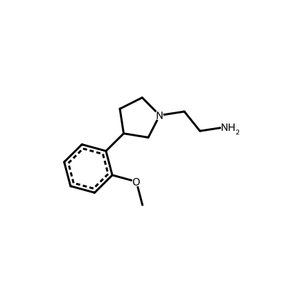 COc1ccccc1C1CCN(CCN)C1